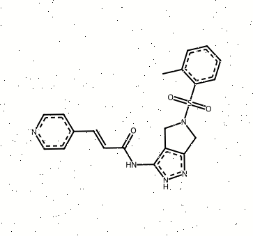 Cc1ccccc1S(=O)(=O)N1Cc2n[nH]c(NC(=O)C=Cc3ccncc3)c2C1